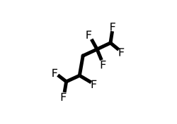 FC(F)C(F)CC(F)(F)C(F)F